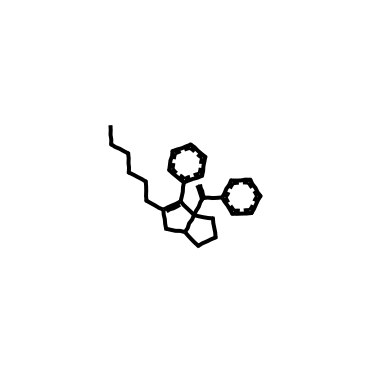 C=C(c1ccccc1)C12CCCC1CC(CCCCCC)=C2c1ccccc1